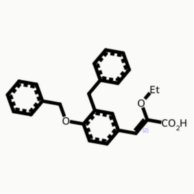 CCO/C(=C\c1ccc(OCc2ccccc2)c(Cc2ccccc2)c1)C(=O)O